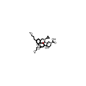 COCCCc1cc(CN(C(=O)[C@H]2CN(C(=O)O)CC[C@]2(O)c2cc[nH]c(=O)c2)C2CC2)cc(OCCOC)c1